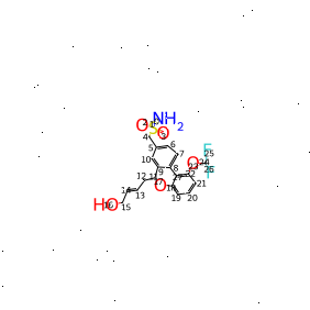 NS(=O)(=O)Cc1ccc2c(c1)C(C/C=C/CO)Oc1cccc(OC(F)F)c1-2